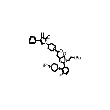 CC(C)N1CCN(c2c(F)cccc2C2SC(CC(=O)N3CCC(n4cc(-c5ccccc5)[nH]c4=O)CC3)C(=O)N2CCC(C)(C)C)CC1